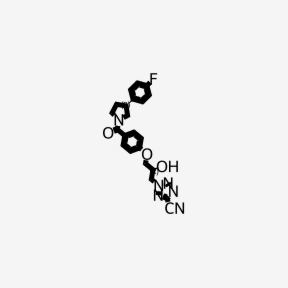 N#Cc1nnn(C[C@@H](O)COc2ccc(C(=O)N3CC[C@H](c4ccc(F)cc4)C3)cc2)n1